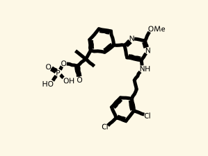 COc1nc(NCCc2ccc(Cl)cc2Cl)cc(-c2cccc(C(C)(C)C(=O)OP(=O)(O)O)c2)n1